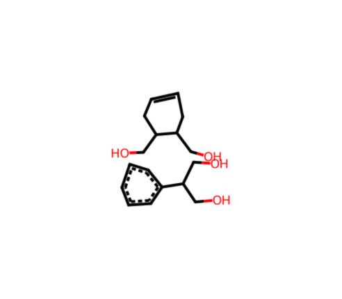 OCC(CO)c1ccccc1.OCC1CC=CCC1CO